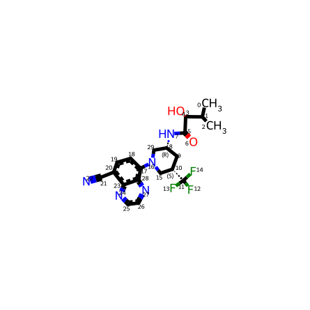 CC(C)C(O)C(=O)N[C@@H]1C[C@H](C(F)(F)F)CN(c2ccc(C#N)c3nccnc23)C1